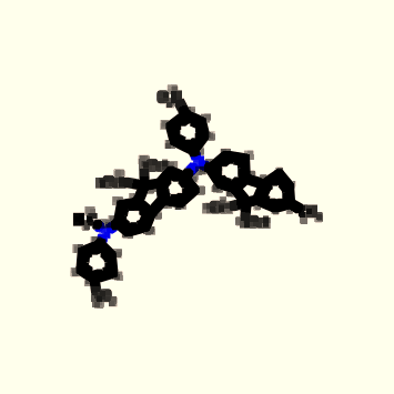 CCCCCCCCC1(CCCCCCCC)c2cc(C)ccc2-c2ccc(N(c3ccc([N+](=O)[O-])cc3)c3ccc4c(c3)C(CCCCCCCC)(CCCCCCCC)c3cc(N(C)c5ccc([N+](=O)[O-])cc5)ccc3-4)cc21